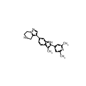 Cc1cc(-c2[nH]c3cc(-c4cnn5c4CNCC5)ccc3c2C)cc(C)n1